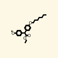 CCCCCCCOc1ccc(C(C(=O)OCC)c2ccc(OC)cc2)cc1